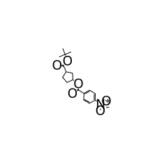 CC(C)(C)OC(=O)C1CCC(OC(=O)c2ccc([N+](=O)[O-])cc2)C1